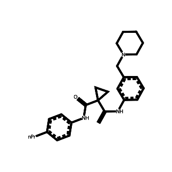 C=C(Nc1cccc(CN2CCCCC2)c1)C1(C(=O)Nc2ccc(CCC)cc2)CC1